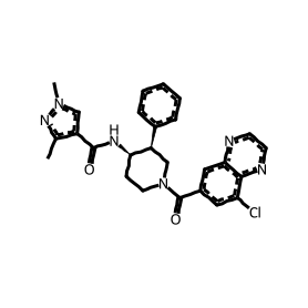 Cc1nn(C)cc1C(=O)N[C@@H]1CCN(C(=O)c2cc(Cl)c3nccnc3c2)C[C@@H]1c1ccccc1